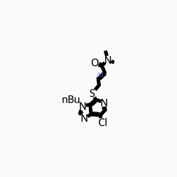 CCCCn1cnc2c(Cl)cnc(SC/C=C/C(=O)N(C)C)c21